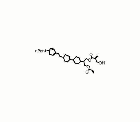 C=CC(=O)OCC(COC(=O)C(=C)CO)C1CCC(C2CCC(CCc3ccc(CCCCC)cc3)CC2)CC1